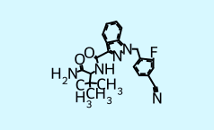 CC(C)(C)C(NC(=O)c1nn(Cc2ccc(C#N)cc2F)c2ccccc12)C(N)=O